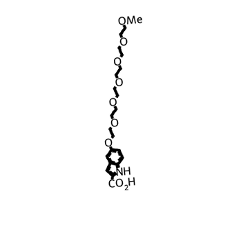 COCCOCCOCCOCCOCCOCCOc1ccc2[nH]c(C(=O)O)cc2c1